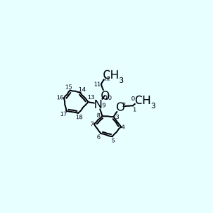 CCOc1ccccc1N(OCC)c1ccccc1